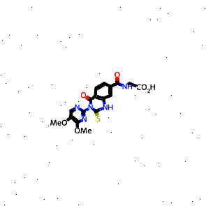 COc1cnc(-n2c(=S)[nH]c3cc(C(=O)NCC(=O)O)ccc3c2=O)nc1OC